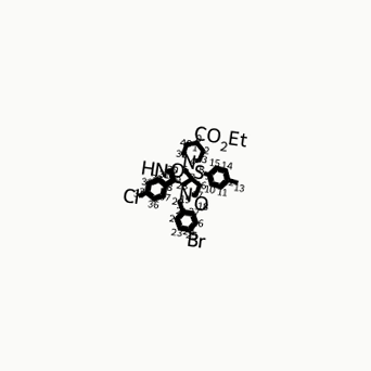 CCOC(=O)C1CCN(C(=O)[C@]2(Sc3ccc(C)cc3)CC(=O)N(Cc3ccc(Br)cc3)[C@H]2c2c[nH]c3cc(Cl)ccc23)CC1